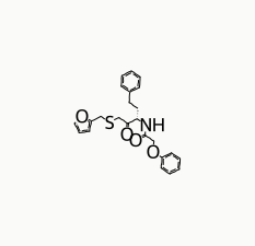 O=C(COc1ccccc1)N[C@@H](CCc1ccccc1)C(=O)CSCc1ccco1